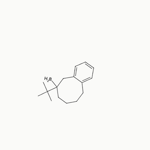 BC1(C(C)(C)C)CCCCc2ccccc2C1